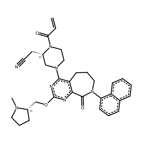 C=CC(=O)N1CCN(c2nc(OC[C@@H]3CCCN3C)nc3c2CCCN(c2cccc4ccccc24)C3=O)C[C@@H]1CC#N